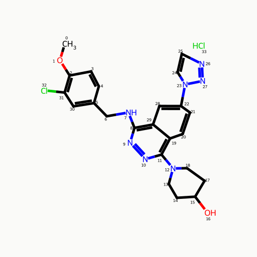 COc1ccc(CNc2nnc(N3CCC(O)CC3)c3ccc(-n4ccnn4)cc23)cc1Cl.Cl